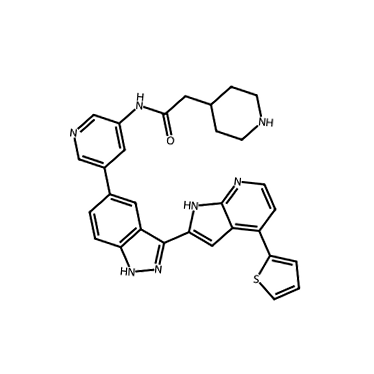 O=C(CC1CCNCC1)Nc1cncc(-c2ccc3[nH]nc(-c4cc5c(-c6cccs6)ccnc5[nH]4)c3c2)c1